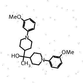 COc1cccc(N2CCC(C(C)(O)C3CCN(c4cccc(OC)c4)CC3)CC2)c1